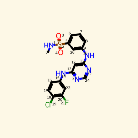 CNS(=O)(=O)c1cccc(Nc2cc(Nc3ccc(Cl)c(F)c3)ncn2)c1